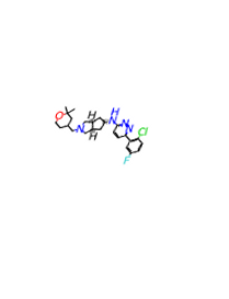 CC1(C)CC(CN2C[C@H]3C[C@H](Nc4ccc(-c5cc(F)ccc5Cl)nn4)C[C@H]3C2)CCO1